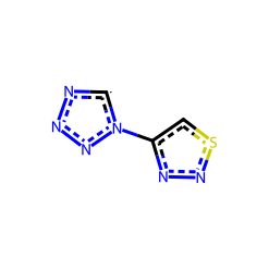 [c]1nnnn1-c1csnn1